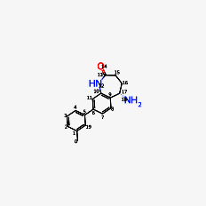 Cc1cccc(-c2ccc3c(c2)NC(=O)CC[C@@H]3N)c1